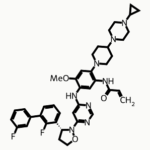 C=CC(=O)Nc1cc(Nc2cc(N3OCC[C@@H]3c3cccc(-c4cccc(F)c4)c3F)ncn2)c(OC)cc1N1CCC(N2CCN(C3CC3)CC2)CC1